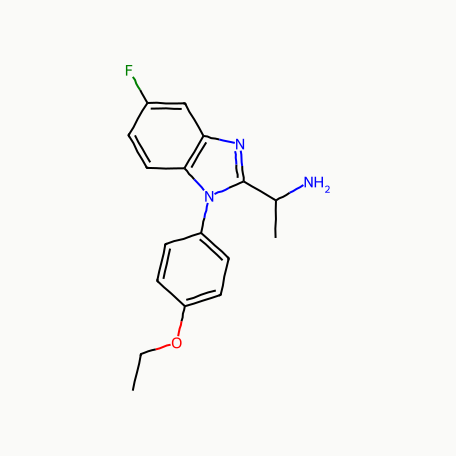 CCOc1ccc(-n2c(C(C)N)nc3cc(F)ccc32)cc1